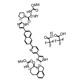 COC(=O)N[C@H]1CCc2cccc3c2N(C1=O)[C@H](c1nc(-c2ccc(-c4ccc5cc(-c6cnc([C@@H]7CCCN7C(=O)[C@@H](NC(=O)OC)C(C)C)[nH]6)ccc5c4)nc2)c[nH]1)C3.O=C(O)C(F)(F)F.O=C(O)C(F)(F)F